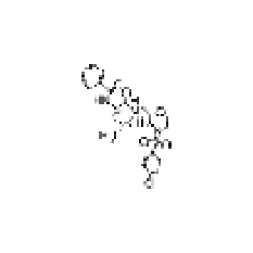 CC(C)C[C@H](NC(=O)c1ccccc1)C(=O)NCC1CN(S(=O)(=O)c2ccc(Cl)cc2)CCO1